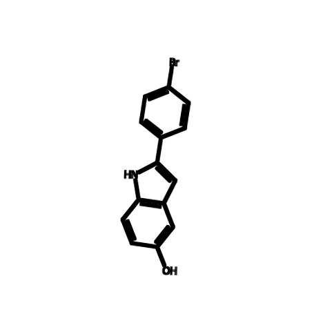 Oc1ccc2[nH]c(-c3ccc(Br)cc3)cc2c1